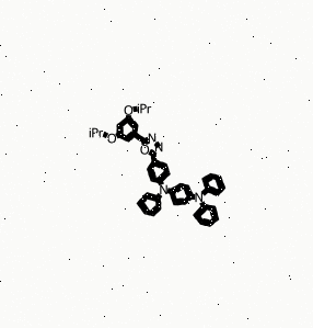 CC(C)Oc1cc(OC(C)C)cc(-c2nnc(-c3ccc(N(c4ccccc4)c4ccc(N(c5ccccc5)c5ccccc5)cc4)cc3)o2)c1